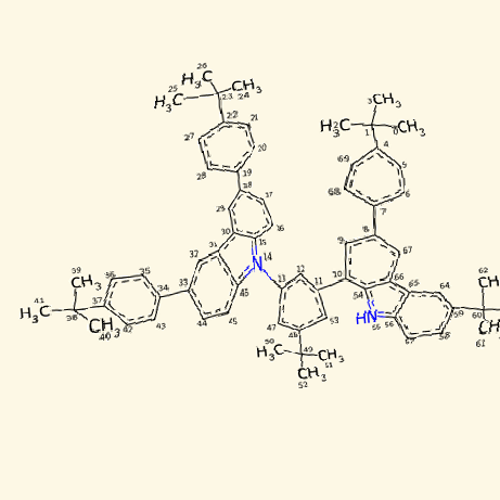 CC(C)(C)c1ccc(-c2cc(-c3cc(-n4c5ccc(-c6ccc(C(C)(C)C)cc6)cc5c5cc(-c6ccc(C(C)(C)C)cc6)ccc54)cc(C(C)(C)C)c3)c3[nH]c4ccc(C(C)(C)C)cc4c3c2)cc1